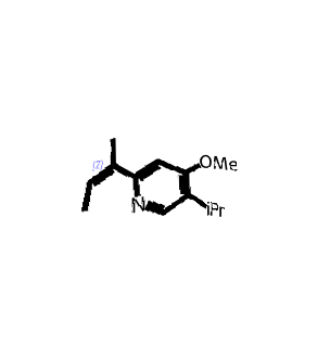 C/C=C(/C)c1cc(OC)c(C(C)C)cn1